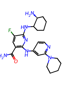 NC(=O)c1cc(F)c(NC2CCCC[C@@H]2N)nc1Nc1ccnc(N2CCCCC2)c1